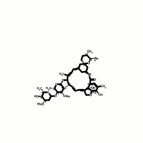 CC[C@H](C)[C@H]1O[C@@]2(CC[C@@H]1C)C[C@@H]1C/C=C(\C)C(O[C@H]3C[C@H](OC)[C@@H](OC4C[C@H](OC)[C@@H](O)[C@H](C)O4)[C@H](C)O3)[C@@H](C)/C=C/C=C3\CO[C@]4(C)[C@H](O)C(C)=C[C@@H](C(=O)O[C@@H](C1)C2)[C@]34O